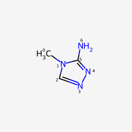 Cn1cnnc1N